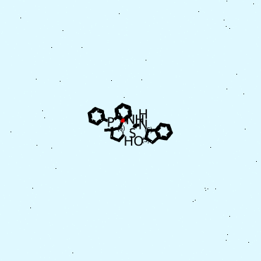 C[C@@H](NC(=S)N[C@H]1c2ccccc2C[C@@H]1O)[C@@H]1CCCC1(C)P(c1ccccc1)c1ccccc1